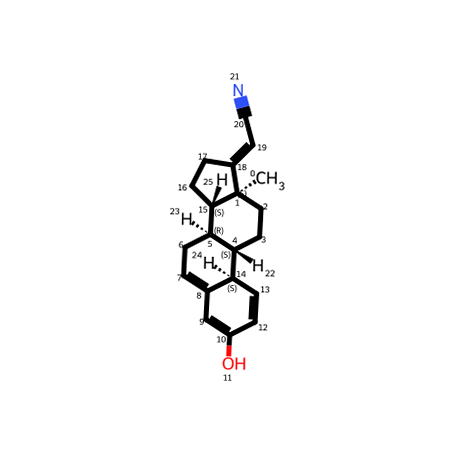 C[C@]12CC[C@H]3[C@@H](CC=C4C=C(O)C=C[C@@H]43)[C@@H]1CCC2=CC#N